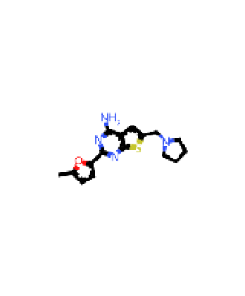 Cc1ccc(-c2nc(N)c3cc(CN4CCCC4)sc3n2)o1